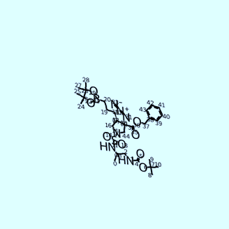 C[C@H](CNC(=O)OC(C)(C)C)NS(=O)(=O)N1C[C@@H](CCCB2OC(C)(C)C(C)(C)O2)[C@@](N=[N+]=[N-])(C(=O)OCc2ccccc2)C1